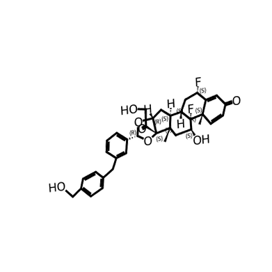 C[C@]12C=CC(=O)C=C1[C@@H](F)C[C@H]1[C@@H]3C[C@H]4O[C@@H](c5cccc(Cc6ccc(CO)cc6)c5)O[C@@]4(C(=O)CO)[C@@]3(C)C[C@H](O)[C@@]12F